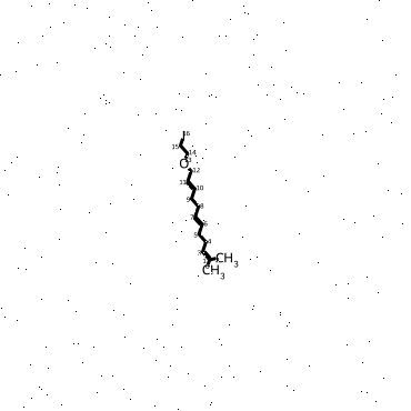 CC(C)=CCCC=CCCC=CCOCCI